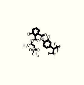 C[C@@H](CS(C)(=O)=O)NC(=O)c1c(Cl)cccc1C(=O)Nc1ccc(C(C(F)F)C(F)(F)F)cc1Cl